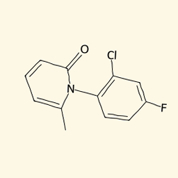 Cc1cccc(=O)n1-c1ccc(F)cc1Cl